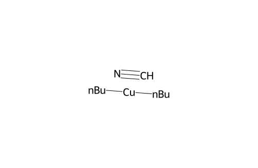 C#N.CCC[CH2][Cu][CH2]CCC